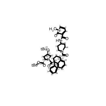 Cn1cccc(C(=O)NC2CCN(C(=O)[C@H]3CC[C@@](C(=O)N4C[C@H](OC(C)(C)C)C[C@H]4C(=O)OC(C)(C)C)(c4ccccc4)c4ccccc43)CC2)c1=O